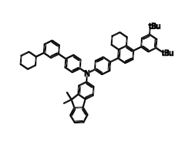 CC(C)(C)c1cc(-c2ccc(-c3ccc(N(c4ccc(-c5cccc(C6CCCCC6)c5)cc4)c4ccc5c(c4)C(C)(C)c4ccccc4-5)cc3)c3c2CCCC3)cc(C(C)(C)C)c1